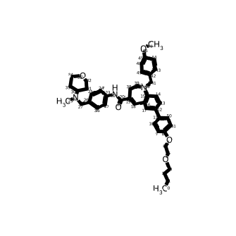 CCCCOCCOc1ccc(-c2ccc3c(c2)C=C(C(=O)Nc2ccc(CN(C)C4CCOCC4)cc2)CCN3Cc2ccc(OC)cc2)cc1